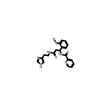 O=Nc1ccccc1C(CC(=O)NCCc1c[nH]cn1)NC(=O)c1ccccn1